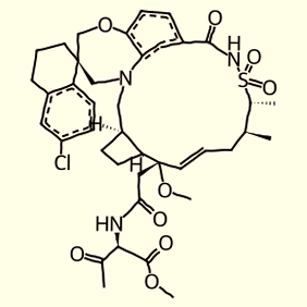 COC(=O)[C@H](NC(=O)C[C@]1(OC)/C=C/C[C@H](C)[C@@H](C)S(=O)(=O)NC(=O)c2ccc3c(c2)N(C[C@@H]2CC[C@H]21)C[C@@]1(CCCc2cc(Cl)ccc21)CO3)C(C)=O